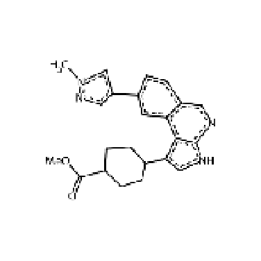 COC(=O)C1CCC(c2c[nH]c3ncc4ccc(-c5cnn(C)c5)cc4c23)CC1